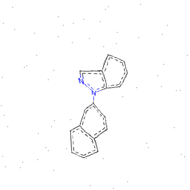 c1ccc2cc(-n3ncc4ccccc43)ccc2c1